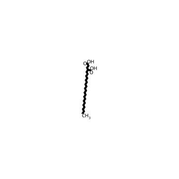 CCCCCCCCCCCCCCCCCCCCCCC(CCC(=O)O)C(=O)O